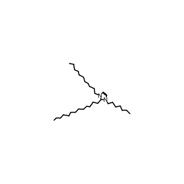 CCCCCCCCCCCCCC1N(CCCCCCC)C=CN1CCCCCCCCCCC